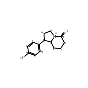 O=C1CCCC2C(c3ccc(F)cc3)CCN12